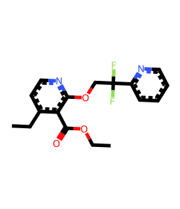 CCOC(=O)c1c(CC)ccnc1OCC(F)(F)c1ccccn1